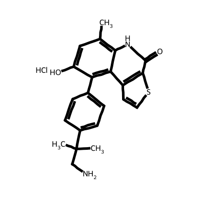 Cc1cc(O)c(-c2ccc(C(C)(C)CN)cc2)c2c1[nH]c(=O)c1sccc12.Cl